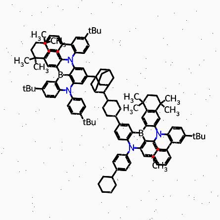 Cc1cc2c3c(c1)N(c1ccc(C(C)(C)C)cc1-c1ccccc1)c1cc4c(cc1B3c1cc(C3CCC(C5C6CC7CC5CC(c5cc8c9c(c5)N(c5ccc(C(C)(C)C)cc5-c5ccccc5)c5cc%10c(cc5B9c5cc(C(C)(C)C)ccc5N8c5ccc(C(C)(C)C)cc5)C(C)(C)CCC%10(C)C)(C7)C6)CC3)ccc1N2c1ccc(C2CCCCC2)cc1)C(C)(C)CCC4(C)C